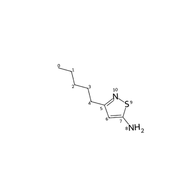 CCCCCc1cc(N)sn1